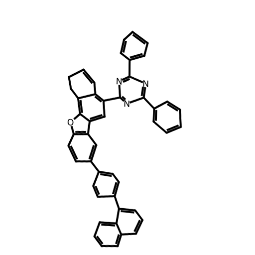 C1=Cc2c(-c3nc(-c4ccccc4)nc(-c4ccccc4)n3)cc3c(oc4ccc(-c5ccc(-c6cccc7ccccc67)cc5)cc43)c2CC1